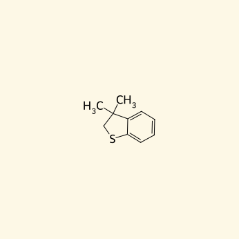 CC1(C)CSc2ccccc21